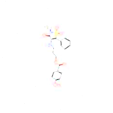 CC(C)(C)N1C(=O)C(NCCCOC(=O)c2ccc(O)cc2)=C(c2ccccc2)S1(=O)=O